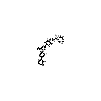 O=C(COc1ccc(C2CN(c3ccc(-c4ccccc4)cc3)C(=O)O2)cc1)N1CCOCC1